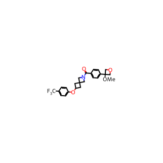 COC1(c2ccc(C(=O)N3CC4(CC(Oc5ccc(C(F)(F)F)cc5)C4)C3)cc2)COC1